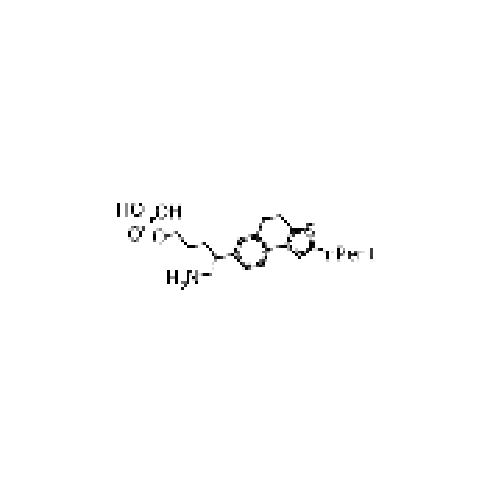 CCCCCc1cc2c(s1)CCc1cc([C@H](CN)CCCOP(=O)(O)O)ccc1-2